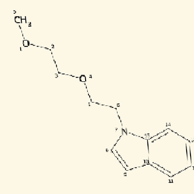 COCCOCCn1[c]cc2ccccc21